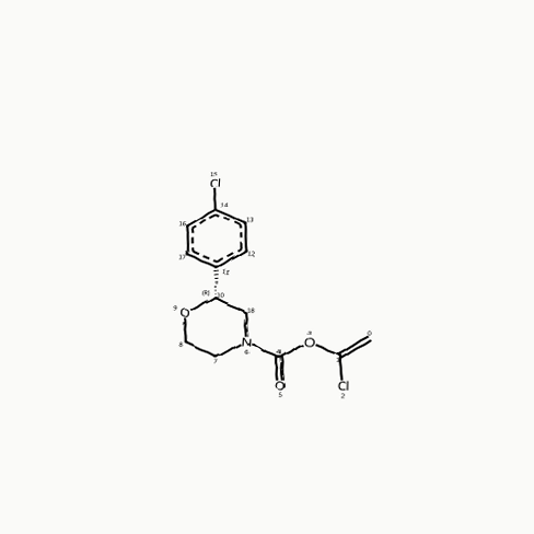 C=C(Cl)OC(=O)N1CCO[C@H](c2ccc(Cl)cc2)C1